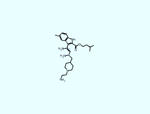 Cc1ccc2[nH]c(C(=O)OCCC(C)C)c(/C(N)=C/N(N)CC3CCN(CCN)CC3)c2c1